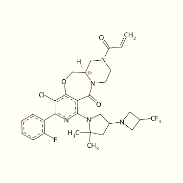 C=CC(=O)N1CCN2C(=O)c3c(N4CC(N5CC(C(F)(F)F)C5)CC4(C)C)nc(-c4ccccc4F)c(Cl)c3OC[C@H]2C1